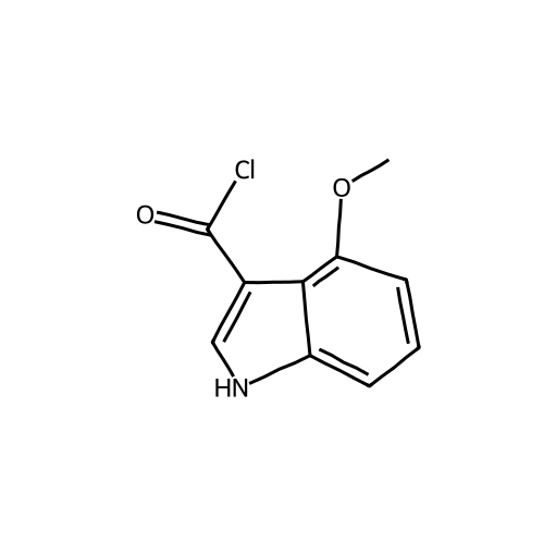 COc1cccc2[nH]cc(C(=O)Cl)c12